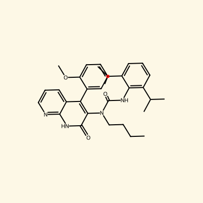 CCCCN(C(=O)Nc1c(C(C)C)cccc1C(C)C)c1c(-c2ccccc2OC)c2cccnc2[nH]c1=O